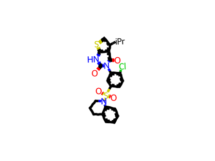 CC(C)c1csc2[nH]c(=O)n(-c3cc(S(=O)(=O)N4CCCc5ccccc54)ccc3Cl)c(=O)c12